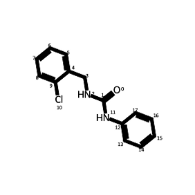 O=C(NCc1ccccc1Cl)Nc1ccccc1